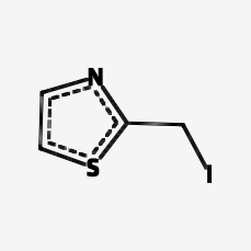 ICc1nccs1